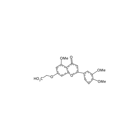 COc1ccc(-c2cc(=O)c3c(OC)cc(OCC(=O)O)cc3o2)cc1OC